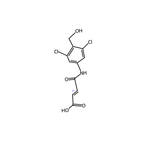 O=C(O)/C=C/C(=O)Nc1cc(Cl)c(CO)c(Cl)c1